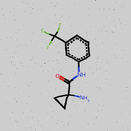 NC1(C(=O)Nc2cccc(C(F)(F)F)c2)CC1